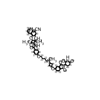 C=C(C#N)/C=C\C(O[C@H]1C(C)(C)[C@H](NC(=O)c2ccc(OCCCCN(C)[C@H]3C[C@H](Oc4ccc5c(c4)C(=O)N(C4CCC(=O)NC4=O)C5=O)C3)cc2)C1(C)C)=C1\C=CC=NC1